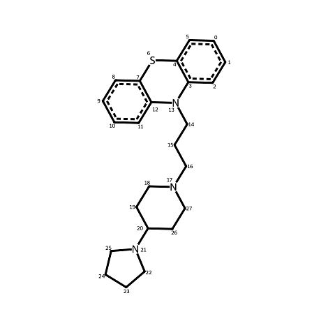 c1ccc2c(c1)Sc1ccccc1N2CCCN1CCC(N2CCCC2)CC1